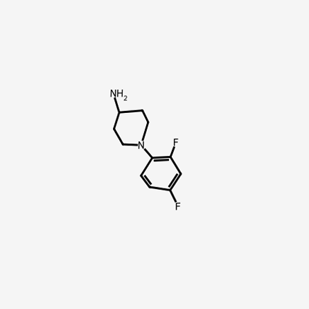 NC1CCN(c2ccc(F)cc2F)CC1